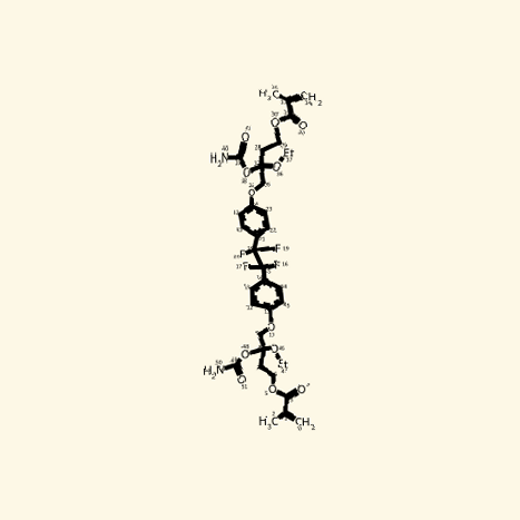 C=C(C)C(=O)OCCC(COc1ccc(C(F)(F)C(F)(F)c2ccc(OCC(CCOC(=O)C(=C)C)(OCC)OC(N)=O)cc2)cc1)(OCC)OC(N)=O